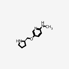 CNc1ccc(OC[C@H]2CCCN2)cn1